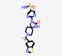 C[C@@H](c1ccc2scnc2c1)N1CCC2(CC1)CN(c1ncc([S@@](C)(=N)=O)cn1)C(=O)N2